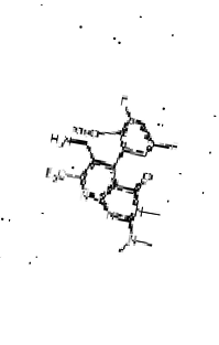 COc1c(F)cc(F)cc1-c1c(CN)c(C(F)(F)F)nc2nc(N(C)C)n(C)c(=O)c12